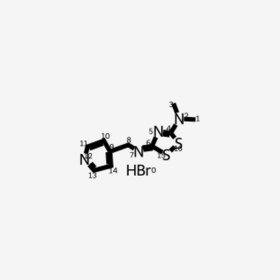 Br.CN(C)c1nc(=NCc2ccncc2)ss1